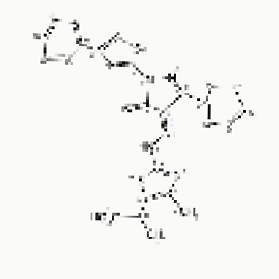 Cc1nc(N/N=C2\C(=O)N(c3nc(-c4ccccc4)cs3)N=C2c2ccccc2)sc1C(C)C(=O)O